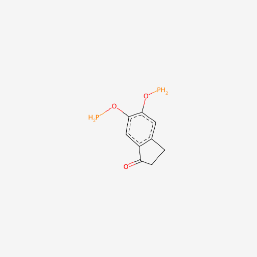 O=C1CCc2cc(OP)c(OP)cc21